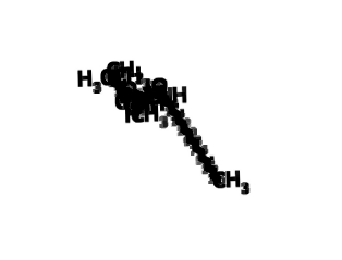 CCCCCCCCCCCCCCCCCCNC(=O)OC(I)C(CNS(=O)(=O)CCC[N+](C)(C)C)NC(C)=O